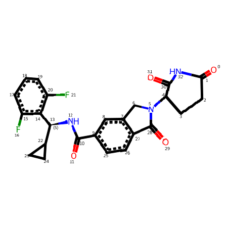 O=C1CCC(N2Cc3cc(C(=O)N[C@H](c4c(F)cccc4F)C4CC4)ccc3C2=O)C(=O)N1